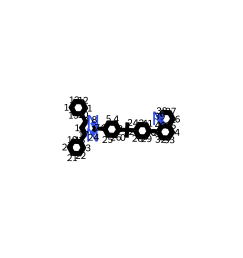 CC(C)(c1ccc(-c2nc(-c3ccccc3)cc(-c3ccccc3)n2)cc1)c1ccc(-c2cccc3cccnc23)cc1